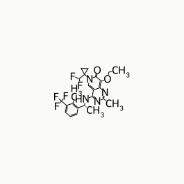 CCOc1c(=O)n(C2(C(F)F)CC2)cc2c(N[C@H](C)c3cccc(C(F)(F)F)c3C)nc(C)nc12